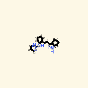 C(=C\c1n[nH]c2ccccc12)/c1ccccc1Nc1ncccn1